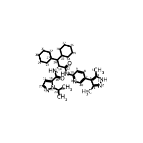 Cc1n[nH]c(C)c1-c1ccc(NC(=O)[C@H](NC(=O)c2ccnn2C(C)C)C(C2CCCCC2)C2CCCCC2)nc1